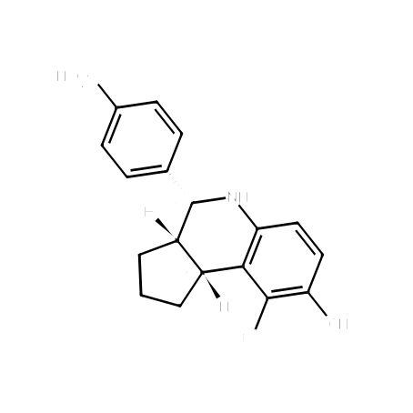 Cc1ccc2c(c1Cl)[C@@H]1CCC[C@@H]1[C@H](c1ccc(C(=O)O)cc1)N2